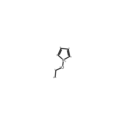 [CH2]COn1cccc1